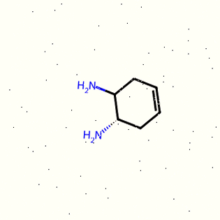 NC1CC=CC[C@@H]1N